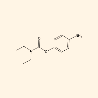 CCN(CC)C(=O)Oc1ccc(N)cc1